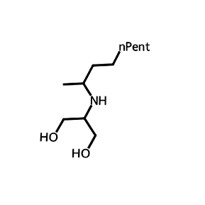 CCCCCCCC(C)NC(CO)CO